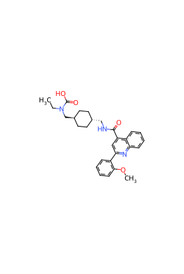 CCN(C[C@H]1CC[C@H](CNC(=O)c2cc(-c3ccccc3OC)nc3ccccc23)CC1)C(=O)O